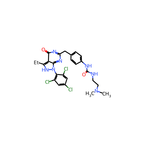 CCc1[nH]n(-c2c(Cl)cc(Cl)cc2Cl)c2nc(Cc3ccc(NC(=O)NCCN(C)C)cc3)nc(=O)c1-2